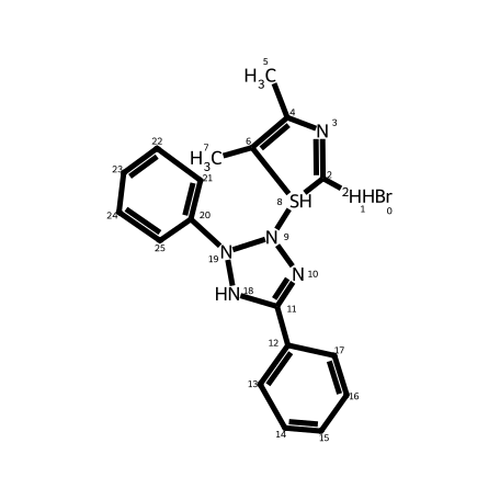 Br.[2H]C1=NC(C)=C(C)[SH]1N1N=C(c2ccccc2)NN1c1ccccc1